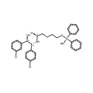 CC[C@@H](CSCCO[Si](c1ccccc1)(c1ccccc1)C(C)(C)C)N[C@H](c1ccc(Cl)cc1)[C@H](O)c1cccc(Cl)c1